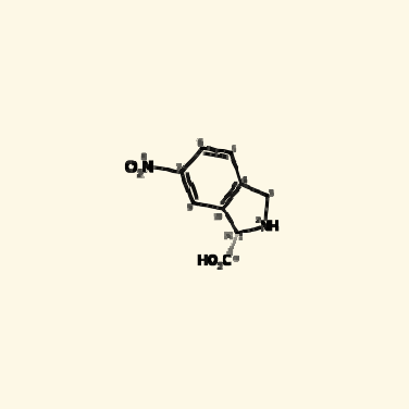 O=C(O)[C@H]1NCc2ccc([N+](=O)[O-])cc21